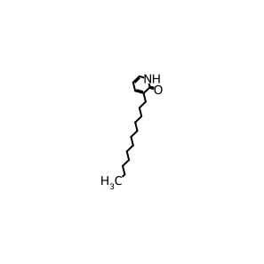 CCCCCCCCCCCCc1ccc[nH]c1=O